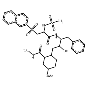 COC1CCC(CC(O)C(Cc2ccccc2)NC(=O)C(CS(=O)(=O)c2ccc3ccccc3c2)NS(C)(=O)=O)C(C(=O)NC(C)(C)C)C1